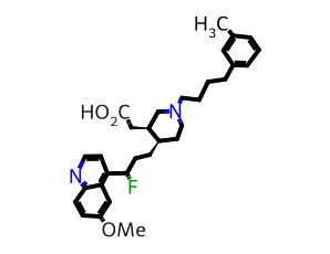 COc1ccc2nccc(C(F)CC[C@@H]3CCN(CCCCc4cccc(C)c4)C[C@@H]3CC(=O)O)c2c1